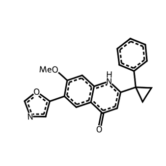 COc1cc2[nH]c(C3(c4ccccc4)CC3)cc(=O)c2cc1-c1cnco1